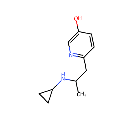 CC(Cc1ccc(O)cn1)NC1CC1